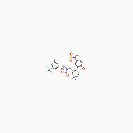 COc1cc2c(cc1C1=C(CN3C(=O)O[C@H](c4cc(C)cc(C(F)(F)F)c4)[C@@H]3C)CC(C)(C)CC1)N(S(C)(=O)=O)CC2